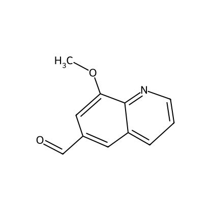 COc1cc(C=O)cc2cccnc12